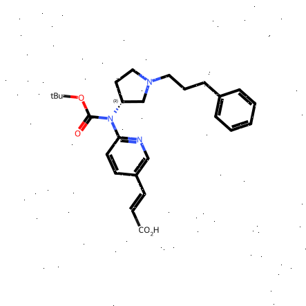 CC(C)(C)OC(=O)N(c1ccc(C=CC(=O)O)cn1)[C@@H]1CCN(CCCc2ccccc2)C1